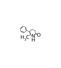 CC1=C(c2ccccc2)CCC(=O)N1